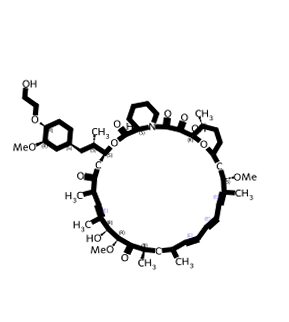 CO[C@H]1CC2CC[C@@H](C)[C@@](O)(O2)C(=O)C(=O)N2CCCC[C@H]2C(=O)O[C@H]([C@@H](C)C[C@@H]2CC[C@@H](OCCO)[C@H](OC)C2)CC(=O)C(C)/C=C(\C)[C@@H](O)[C@@H](OC)C(=O)[C@H](C)CC(C)/C=C/C=C/C=C/1C